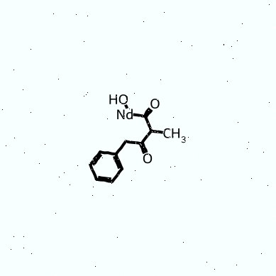 CC(C(=O)Cc1ccccc1)[C](=O)[Nd][OH]